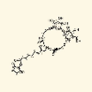 O=C(CN1CC(=O)NCCO[C@@H]2O[C@@H](O[C@@H]3[C@H](OCCNC(=O)C1)O[C@H](CO)[C@@H](O)[C@@H]3O)[C@@H](O)[C@@H](O)[C@@H]2O)NCCCCCC(=O)ON1C(=O)CCC1=O